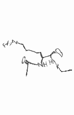 CNC(=O)C(CCCN)NC(C)=O